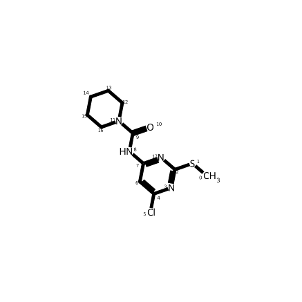 CSc1nc(Cl)cc(NC(=O)N2CCCCC2)n1